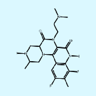 Cc1c(F)cc2c3c(c(=O)n(I)c2c1F)N(CCN(C)C)C(=O)C1CN(I)C(C)CN31